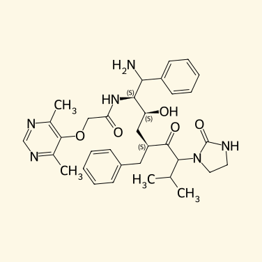 Cc1ncnc(C)c1OCC(=O)N[C@@H](C(N)c1ccccc1)[C@@H](O)C[C@H](Cc1ccccc1)C(=O)C(C(C)C)N1CCNC1=O